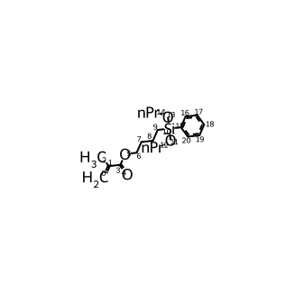 C=C(C)C(=O)OCCCC[Si](OCCC)(OCCC)c1ccccc1